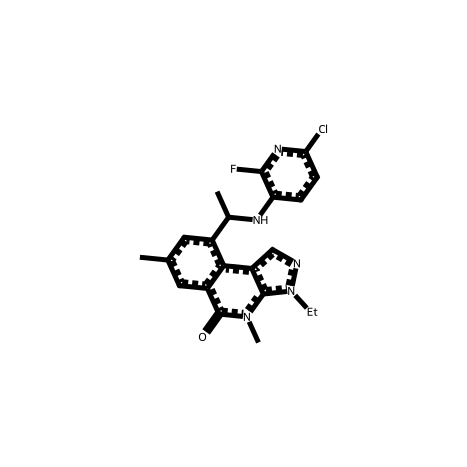 CCn1ncc2c3c(C(C)Nc4ccc(Cl)nc4F)cc(C)cc3c(=O)n(C)c21